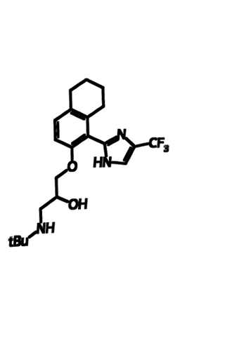 CC(C)(C)NCC(O)COc1ccc2c(c1-c1nc(C(F)(F)F)c[nH]1)CCCC2